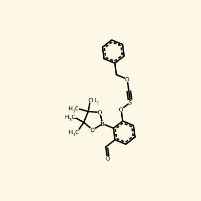 CC1(C)OB(c2c(C=O)cccc2OS#COCc2ccccc2)OC1(C)C